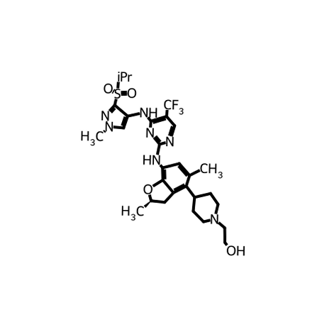 Cc1cc(Nc2ncc(C(F)(F)F)c(Nc3cn(C)nc3S(=O)(=O)C(C)C)n2)c2c(c1C1CCN(CCO)CC1)C[C@@H](C)O2